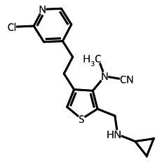 CN(C#N)c1c(CCc2ccnc(Cl)c2)csc1CNC1CC1